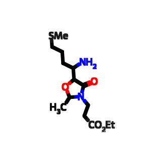 CCOC(=O)CCN1C(=O)C(C(N)CCCSC)OC1C